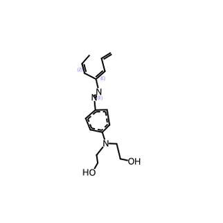 C=C/C=C(\C=C/C)/N=N/c1ccc(N(CCO)CCO)cc1